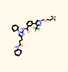 C[Si](C)(C)CCOCn1cc(-c2cccc(C(=O)Nc3nc(CCC(=O)Nc4ccccc4)cn3-c3ccccc3)c2)c(C(F)(F)F)n1